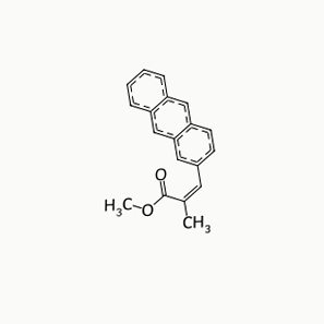 COC(=O)C(C)=Cc1ccc2cc3ccccc3cc2c1